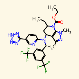 CCOC(=O)N1c2c(c(C)nn2C)C(N(Cc2cc(C(F)(F)F)cc(C(F)(F)F)c2)c2ccc(-c3nn[nH]n3)cn2)CC1CC